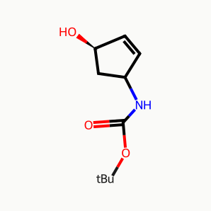 CC(C)(C)OC(=O)NC1C=C[C@H](O)C1